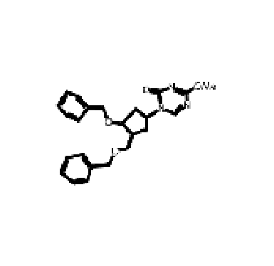 COc1ncn(C2CC(COCc3ccccc3)C(OCc3ccccc3)C2)c(=O)n1